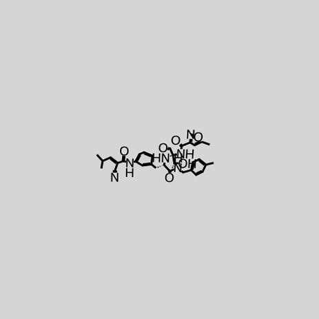 Cc1ccc(CNC(=O)[C@H](Cc2cccc(NC(=O)C(C#N)=CC(C)C)c2)N[C@](C=O)(NC(=O)c2cc(C)on2)[C@@H](C)O)cc1